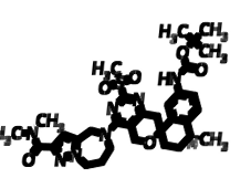 C[C@@H]1CCC2(Cc3nc(S(C)(=O)=O)nc(N4CCCn5nc(C(=O)N(C)C)cc5C4)c3CO2)c2cc(NC(=O)OC(C)(C)C)ccc21